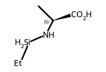 CC[SiH2]N[C@@H](C)C(=O)O